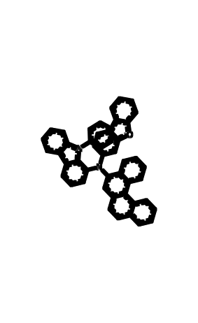 c1ccc(-n2c3ccccc3c3cccc(N(c4ccc5c(c4)oc4ccccc45)c4cc5ccc6ccccc6c5c5ccccc45)c32)cc1